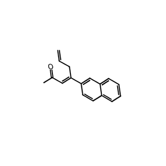 C=CC/C(=C\C(C)=O)c1ccc2ccccc2c1